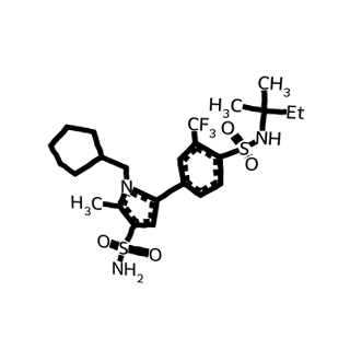 CCC(C)(C)NS(=O)(=O)c1ccc(-c2cc(S(N)(=O)=O)c(C)n2CC2CCCCC2)cc1C(F)(F)F